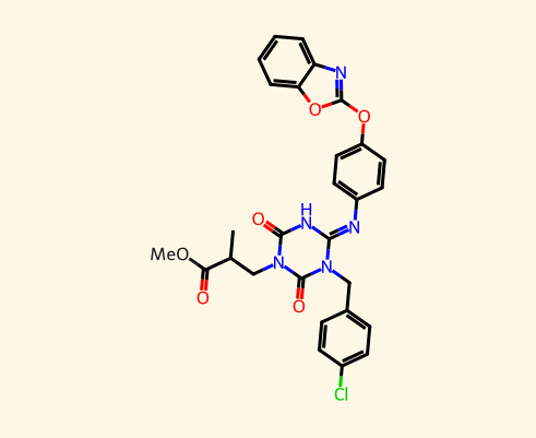 COC(=O)C(C)Cn1c(=O)[nH]c(=Nc2ccc(Oc3nc4ccccc4o3)cc2)n(Cc2ccc(Cl)cc2)c1=O